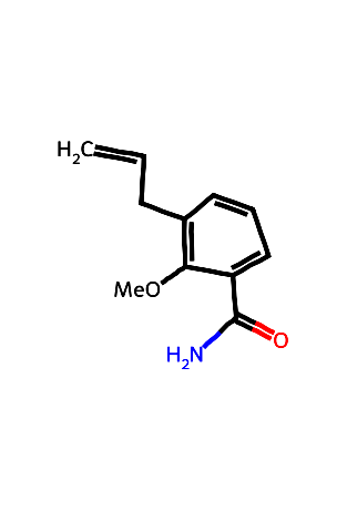 C=CCc1cccc(C(N)=O)c1OC